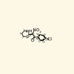 O=C(/C(=C1/NCCCS1)[N+](=O)[O-])c1ccc(Cl)cc1